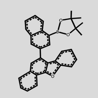 CC1(C)OB(c2cc(-c3cc4ccccc4c4oc5ccccc5c34)cc3ccccc23)OC1(C)C